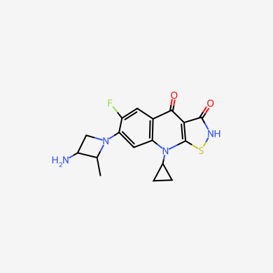 CC1C(N)CN1c1cc2c(cc1F)c(=O)c1c(=O)[nH]sc1n2C1CC1